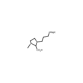 CCCCCCCCCCN1CCN(C)C1C(=O)O